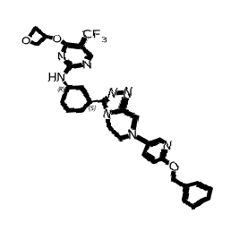 FC(F)(F)c1cnc(N[C@@H]2CCC[C@H](c3nnc4n3CCN(c3ccc(OCc5ccccc5)nc3)C4)C2)nc1OC1COC1